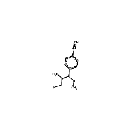 C#Cc1ccc([C@@H](OC)[C@H](N)CF)cc1